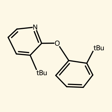 CC(C)(C)c1ccccc1Oc1ncccc1C(C)(C)C